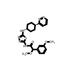 COc1cccc(C(OC)C(=O)Nc2nnc(N[C@H]3CC[C@H](c4cccnn4)CC3)s2)c1